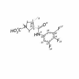 C[C@H]1CN(C(=O)O)C[C@H]1C(=O)Nc1cc(F)c(F)c(F)c1